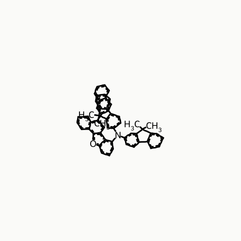 CC1(C)c2ccccc2-c2ccc(N(c3ccc4c(c3)C(C)(C)c3ccccc3-4)c3cccc4oc5c6ccccc6c(-c6ccc7ccccc7c6)cc5c34)cc21